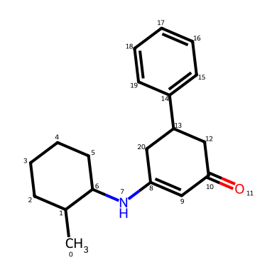 CC1CCCCC1NC1=CC(=O)CC(c2ccccc2)C1